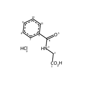 Cl.O=C(O)CNC(=O)c1ccccc1